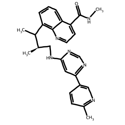 CNC(=O)c1ccnc2c(C(C)[C@H](C)CNc3cc(-c4ccc(C)nc4)ncn3)cccc12